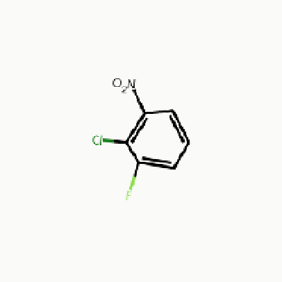 O=[N+]([O-])c1cccc(F)c1Cl